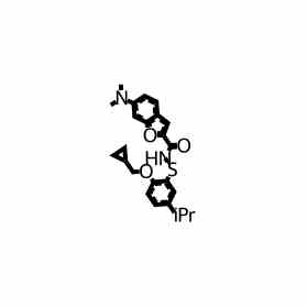 CC(C)c1ccc(OCC2CC2)c(SNC(=O)c2cc3ccc(N(C)C)cc3o2)c1